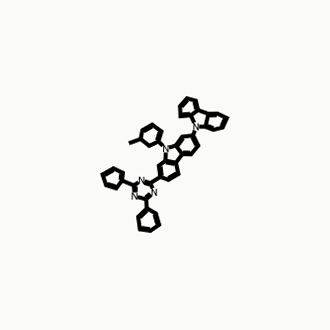 CC1C=CC=C(n2c3cc(-c4nc(-c5ccccc5)nc(-c5ccccc5)n4)ccc3c3ccc(-n4c5ccccc5c5ccccc54)cc32)C1